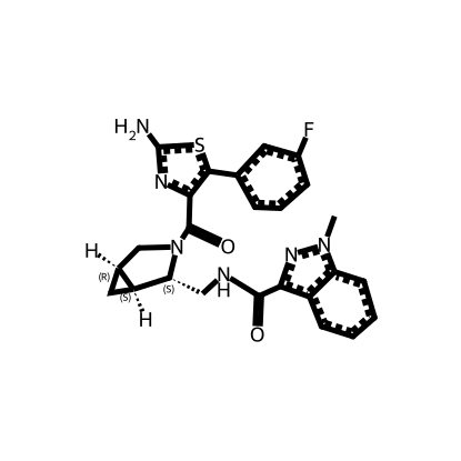 Cn1nc(C(=O)NC[C@@H]2[C@H]3C[C@H]3CN2C(=O)c2nc(N)sc2-c2cccc(F)c2)c2ccccc21